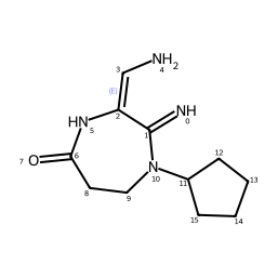 N=C1/C(=C\N)NC(=O)CCN1C1CCCC1